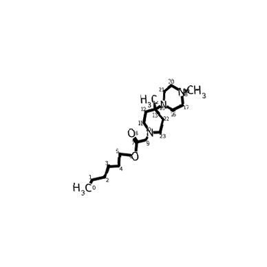 CCCCCCOC(=O)CN1CCC(C)(N2CCN(C)CC2)CC1